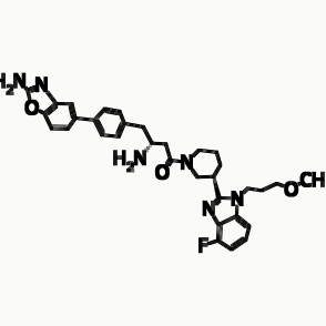 COCCCn1c([C@@H]2CCCN(C(=O)C[C@H](N)Cc3ccc(-c4ccc5oc(N)nc5c4)cc3)C2)nc2c(F)cccc21